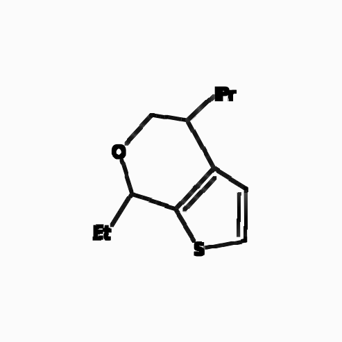 CCC1OCC(C(C)C)c2ccsc21